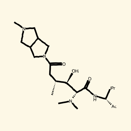 CC(=O)[C@H](NC(=O)[C@@H]([C@H](O)[C@H](C)CC(=O)N1CC2CN(C)CC2C1)N(C)C)C(C)C